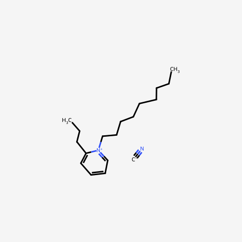 CCCCCCCCC[n+]1ccccc1CCC.[C-]#N